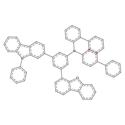 c1ccc(-c2ccc(N(c3cc(-c4ccc5c6ccccc6n(-c6ccccc6)c5c4)cc(-c4cccc5c4oc4ccccc45)c3)c3ccccc3-c3ccccc3)cc2)cc1